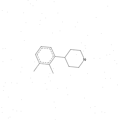 Cc1cccc(C2CC[N]CC2)c1C